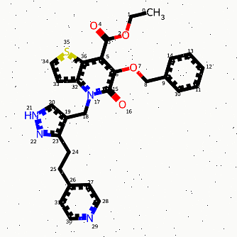 CCOC(=O)c1c(OCc2ccccc2)c(=O)n(Cc2c[nH]nc2CCc2ccncc2)c2ccsc12